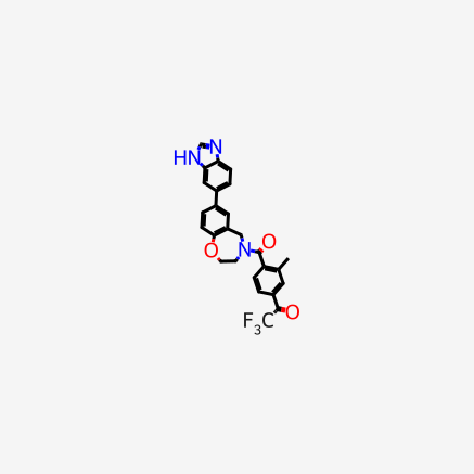 Cc1cc(C(=O)C(F)(F)F)ccc1C(=O)N1CCOc2ccc(-c3ccc4nc[nH]c4c3)cc2C1